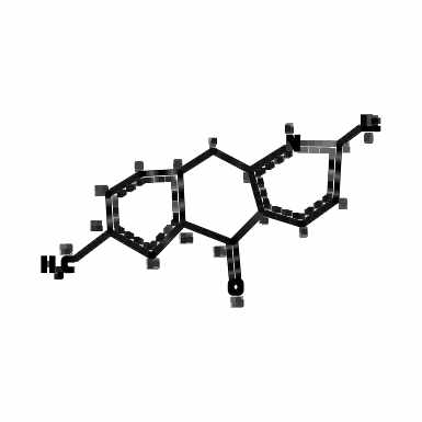 CCc1ccc2c(n1)Cc1ccc(C)cc1C2=O